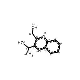 CC(O)c1nc2ccccc2nc1CO